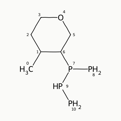 CC1CCOCC1P(P)PP